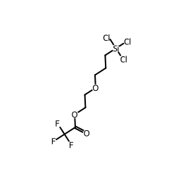 O=C(OCCOCCC[Si](Cl)(Cl)Cl)C(F)(F)F